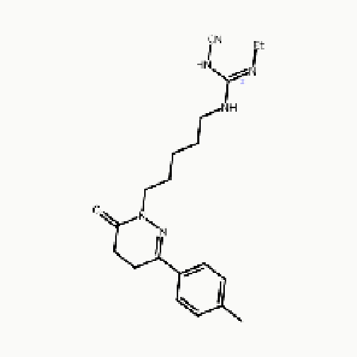 CC/N=C(\NC#N)NCCCCCN1N=C(c2ccc(C)cc2)CCC1=O